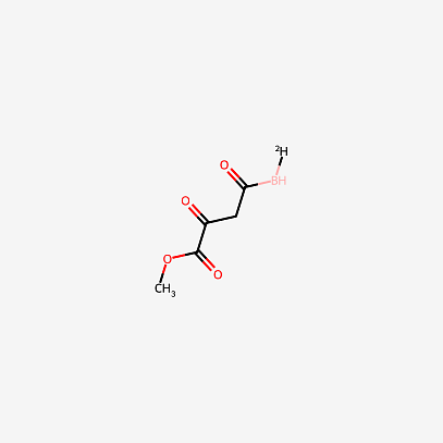 [2H]BC(=O)CC(=O)C(=O)OC